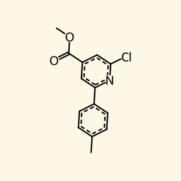 COC(=O)c1cc(Cl)nc(-c2ccc(C)cc2)c1